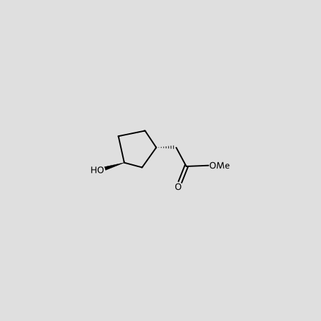 COC(=O)C[C@H]1CC[C@H](O)C1